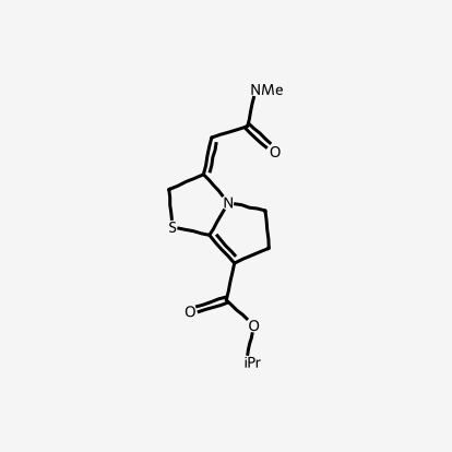 CNC(=O)C=C1CSC2=C(C(=O)OC(C)C)CCN12